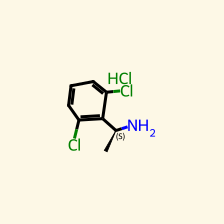 C[C@H](N)c1c(Cl)cccc1Cl.Cl